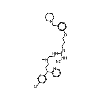 CN(CCN/C(=N\CCCOc1cccc(CN2CCCCC2)c1)NC#N)CCC(c1ccc(Cl)cc1)c1ccccn1